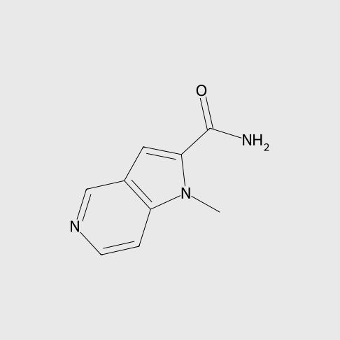 Cn1c(C(N)=O)cc2cnccc21